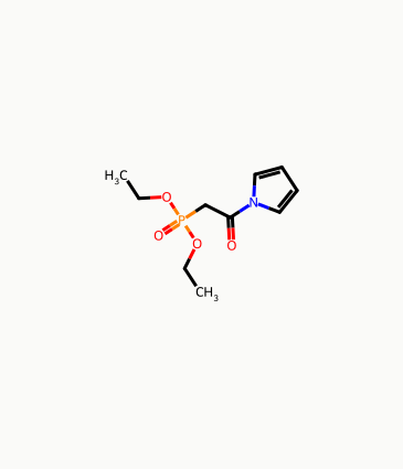 CCOP(=O)(CC(=O)n1cccc1)OCC